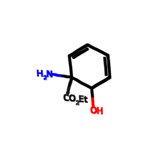 CCOC(=O)C1(N)C=CC=CC1O